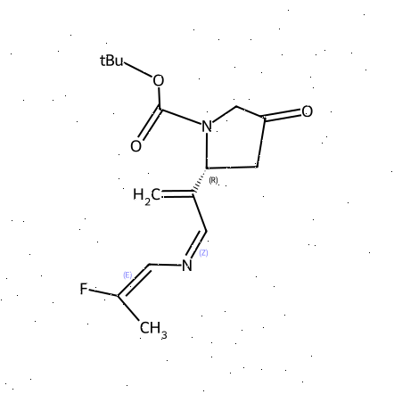 C=C(/C=N\C=C(/C)F)[C@H]1CC(=O)CN1C(=O)OC(C)(C)C